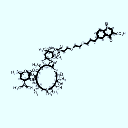 CC[C@H]1OC(=O)[C@H](C)[C@@H](O[C@H]2C[C@@](C)(OC)[C@@H](OS(=O)(=O)CCOCCOCCCc3ccc4c(c3)c(=O)c(C(=O)O)cn4CC)[C@H](C)O2)[C@H](C)[C@@H](O[C@@H]2O[C@H](C)C[C@H](N(C)C)[C@H]2O)[C@](C)(O)C[C@@H](C)CN(C)[C@H](C)[C@@H](O)[C@]1(C)O